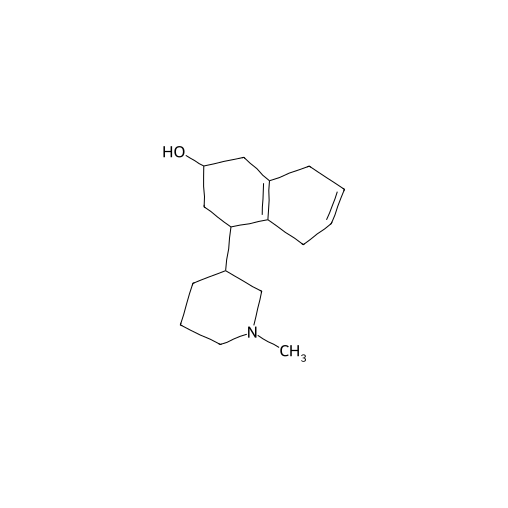 CN1CCCC(C2CC(O)CC3=C2CC=CC3)C1